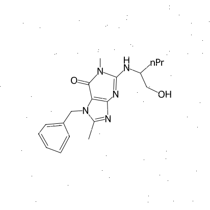 CCCC(CO)Nc1nc2nc(C)n(Cc3ccccc3)c2c(=O)n1C